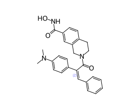 CN(C)c1ccc(/C(=C/c2ccccc2)C(=O)N2CCc3ccc(C(=O)NO)cc3C2)cc1